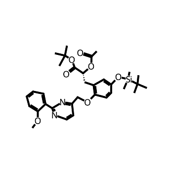 COc1ccccc1-c1nccc(COc2ccc(O[Si](C)(C)C(C)(C)C)cc2C[C@@H](OC(C)=O)C(=O)OC(C)(C)C)n1